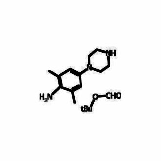 CC(C)(C)OC=O.Cc1cc(N2CCNCC2)cc(C)c1N